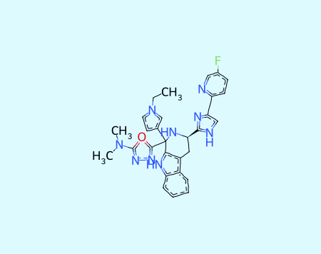 CCn1ccc(C2(c3nnc(N(C)C)o3)N[C@@H](c3nc(-c4ccc(F)cn4)c[nH]3)Cc3c2[nH]c2ccccc32)c1